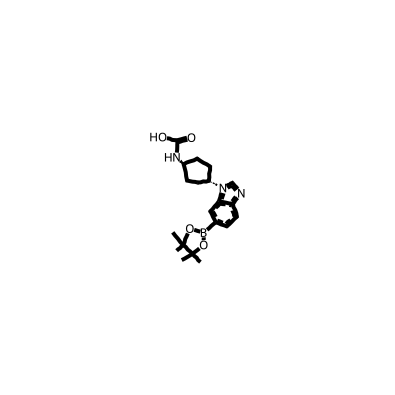 CC1(C)OB(c2ccc3ncn([C@H]4CC[C@H](NC(=O)O)CC4)c3c2)OC1(C)C